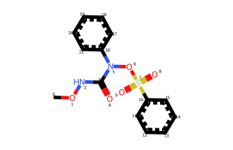 CONC(=O)N(OS(=O)(=O)c1ccccc1)c1ccccc1